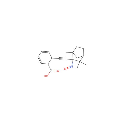 CC12CCC(C1)C(C)(C)C2(C#CC1C=CC=CC1C(=O)O)N=O